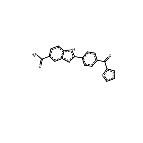 NC(=O)c1ccc2[nH]c(-c3ccc(C(=O)c4cccs4)cc3)nc2c1